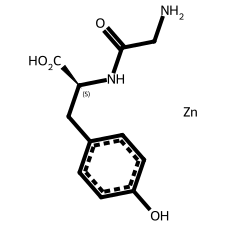 NCC(=O)N[C@@H](Cc1ccc(O)cc1)C(=O)O.[Zn]